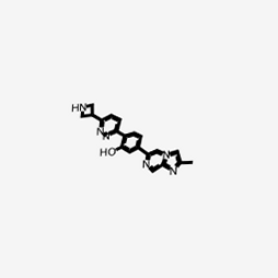 Cc1cn2cc(-c3ccc(-c4ccc(C5CNC5)nn4)c(O)c3)ncc2n1